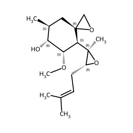 CO[C@@H]1[C@H](O)[C@@H](C)C[C@]2(CO2)[C@H]1[C@@]1(C)O[C@@H]1CC=C(C)C